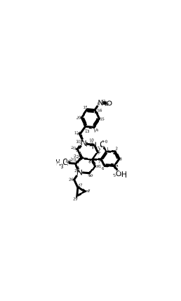 Cc1ccc(O)cc1C12CCN(Cc3ccc(N=O)cc3)CC1C(C)N(CC1CC1)CC2